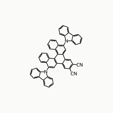 N#Cc1cc2c(cc1C#N)c1cc(-n3c4ccccc4c4ccccc43)c3ccccc3c1c1c3ccccc3c(-n3c4ccccc4c4ccccc43)cc21